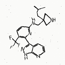 CC(C)CC1(CNc2ccc(C(F)(F)F)c(-c3n[nH]c4ncccc34)n2)CNC1